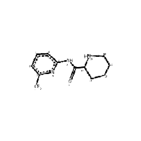 O=C(Nc1cccc(C(F)(F)F)n1)C1CCCCN1